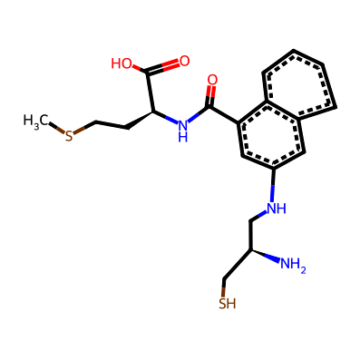 CSCC[C@H](NC(=O)c1cc(NC[C@@H](N)CS)cc2ccccc12)C(=O)O